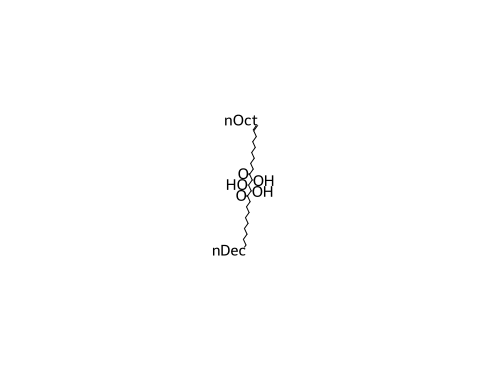 CCCCCCCCC=CCCCCCCCC(=O)C(O)C(O)C(O)C(=O)CCCCCCCCCCCCCCCCCCC